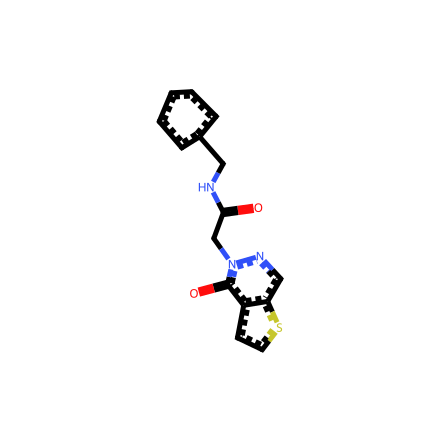 O=C(Cn1ncc2sccc2c1=O)NCc1ccccc1